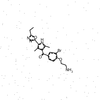 CCc1nnc(-c2[nH]c(C)c(C(=O)c3ccc(OCCN)c(Br)c3)c2C)o1